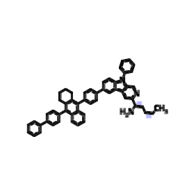 C/C=C\C=C(/N)c1cc2c3cc(-c4ccc(-c5c6c(c(-c7ccc(-c8ccccc8)cc7)c7ccccc57)C=CCC6)cc4)ccc3n(-c3ccccc3)c2cn1